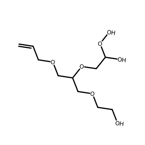 C=CCOCC(COCCO)OCC(O)OO